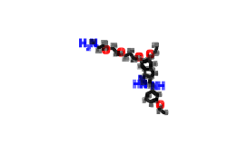 CCOc1cccc(Nc2[nH]nc3c2Cc2cc(OCC)c(OCCCOCCOCCN)cc2-3)c1